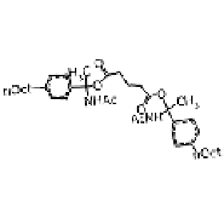 CCCCCCCCc1ccc(C(C)(NC(C)=O)OC(=O)CCCC(=O)OC(C)(NC(C)=O)c2ccc(CCCCCCCC)cc2)cc1